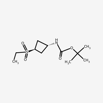 CCS(=O)(=O)[C@H]1C[C@H](NC(=O)OC(C)(C)C)C1